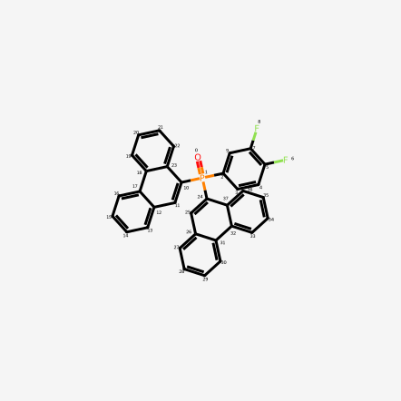 O=P(c1ccc(F)c(F)c1)(c1cc2ccccc2c2ccccc12)c1cc2ccccc2c2ccccc12